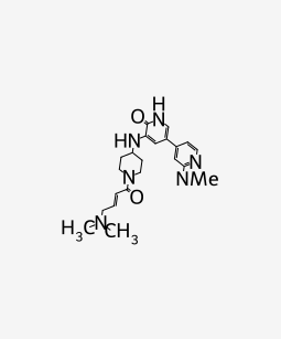 CNc1cc(-c2c[nH]c(=O)c(NC3CCN(C(=O)C=CCN(C)C)CC3)c2)ccn1